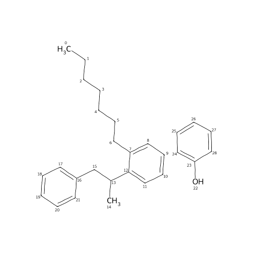 CCCCCCCc1ccccc1C(C)Cc1ccccc1.Oc1ccccc1